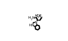 C/C=C\C(=C(/C)N)N1CNc2ccccc21